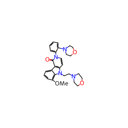 COc1cccc2c3c(=O)n(-c4ccccc4N4CCOCC4)ccc3n(CCN3CCOCC3)c12